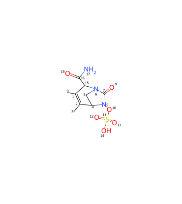 CC1=C(C)C2CN(C(=O)N2OS(=O)(=O)O)C1C(N)=O